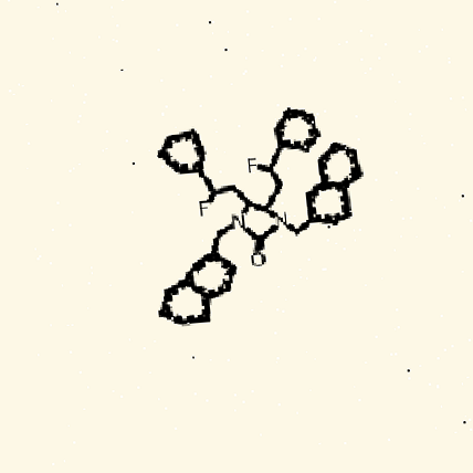 O=C1N(Cc2ccc3ccccc3c2)C(CC(F)c2ccccc2)C(CC(F)c2ccccc2)N1Cc1ccc2ccccc2c1